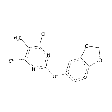 Cc1c(Cl)nc(Oc2ccc3c(c2)OCO3)nc1Cl